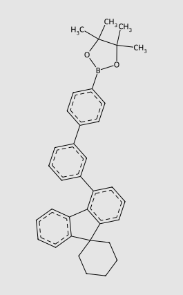 CC1(C)OB(c2ccc(-c3cccc(-c4cccc5c4-c4ccccc4C54CCCCC4)c3)cc2)OC1(C)C